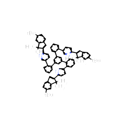 CC(C)(C)c1ccc2c(c1)C(C)(C)C(c1ccc(-c3ccccc3-c3cc(-c4ccccc4-c4ccc(C5=Cc6ccc(C(C)(C)C)cc6C5(C)C)nc4)cc(-c4ccccc4-c4ccc(C5=Cc6ccc(C(C)(C)C)cc6C5(C)C)nc4)c3)cn1)=C2